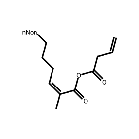 C=CCC(=O)OC(=O)C(C)=CCCCCCCCCCCCC